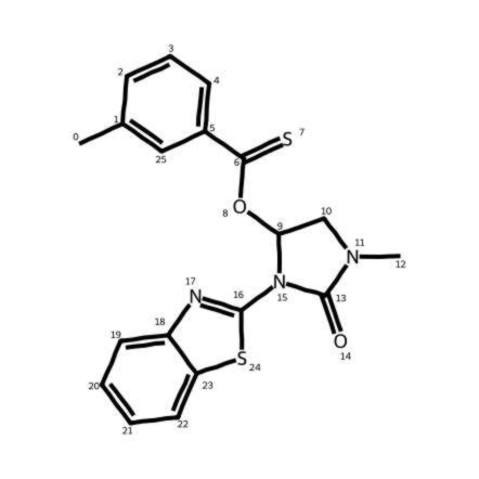 Cc1cccc(C(=S)OC2CN(C)C(=O)N2c2nc3ccccc3s2)c1